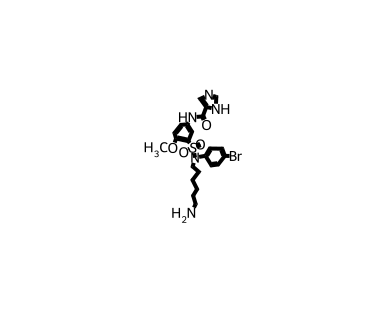 COc1ccc(NC(=O)c2cnc[nH]2)cc1S(=O)(=O)N(CCCCCCN)c1ccc(Br)cc1